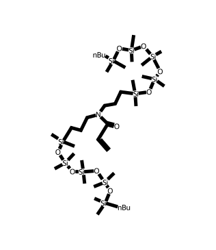 C=CC(=O)N(CCC[Si](C)(C)O[Si](C)(C)O[Si](C)(C)O[Si](C)(C)O[Si](C)(C)CCCC)CCC[Si](C)(C)O[Si](C)(C)O[Si](C)(C)O[Si](C)(C)O[Si](C)(C)CCCC